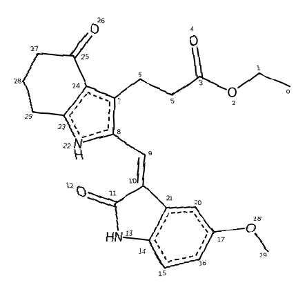 CCOC(=O)CCc1c(/C=C2\C(=O)Nc3ccc(OC)cc32)[nH]c2c1C(=O)CCC2